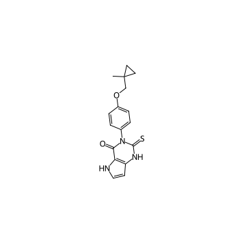 CC1(COc2ccc(-n3c(=S)[nH]c4cc[nH]c4c3=O)cc2)CC1